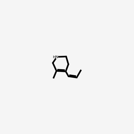 C/C=C\C1=C(C)CNCC1